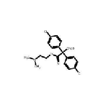 COC(C(=O)OCCN(C)C)(c1ccc(Cl)cc1)c1ccc(Cl)cc1